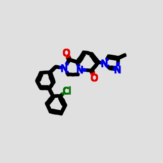 Cc1cn(-c2ccc3n(c2=O)CCN(Cc2cccc(-c4ccccc4Cl)c2)C3=O)cn1